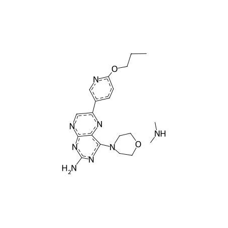 CCCOc1ccc(-c2cnc3nc(N)nc(N4CCOCC4)c3n2)cn1.CNC